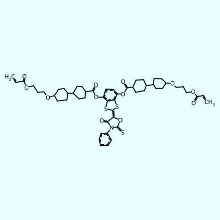 C=CC(=O)OCCCOC1CCC(C2CCC(C(=O)Oc3ccc(OC(=O)C4CCC(C5CCC(OCCCOC(=O)C=C)CC5)CC4)c4c3SC(=C3OC(=S)N(c5ccccc5)C3=O)S4)CC2)CC1